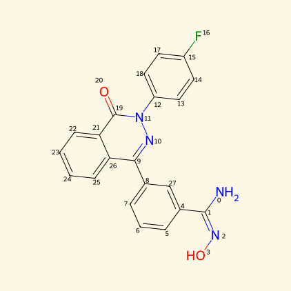 N/C(=N/O)c1cccc(-c2nn(-c3ccc(F)cc3)c(=O)c3ccccc23)c1